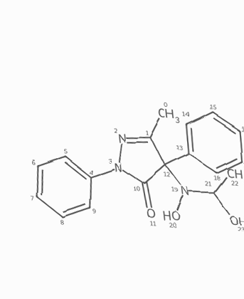 CC1=NN(c2ccccc2)C(=O)C1(c1ccccc1)N(O)C(C)O